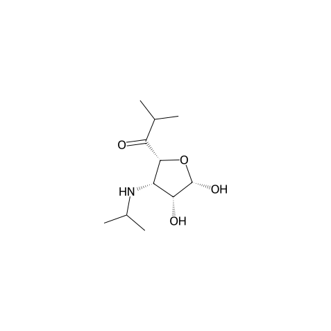 CC(C)N[C@H]1[C@@H](O)[C@@H](O)O[C@H]1C(=O)C(C)C